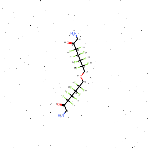 NCC(=O)C(F)(F)C(F)(F)C(F)(F)C(F)(F)COCC(F)(F)C(F)(F)C(F)(F)C(F)(F)C(=O)CN